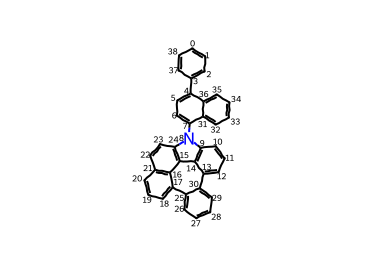 c1ccc(-c2ccc(-n3c4cccc5c4c4c6c(cccc6ccc43)-c3ccccc3-5)c3ccccc23)cc1